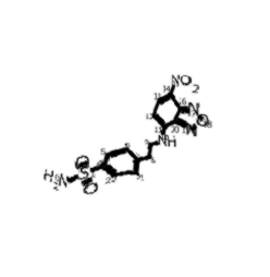 NS(=O)(=O)c1ccc(CCNc2ccc([N+](=O)[O-])c3nonc23)cc1